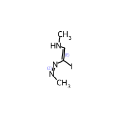 C/N=N\C(I)=C/NC